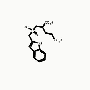 O=C(O)CCC(CP(=O)(O)Cc1cc2ccccc2[nH]1)C(=O)O